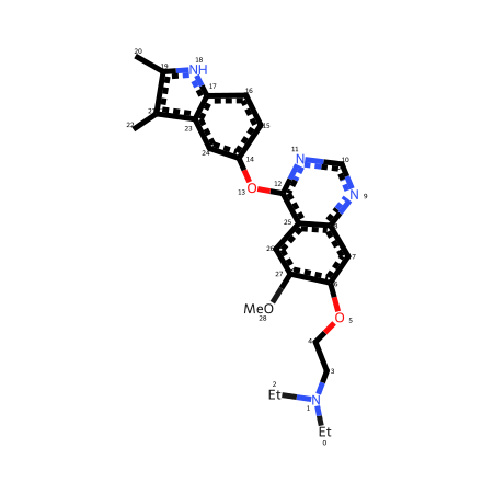 CCN(CC)CCOc1cc2ncnc(Oc3ccc4[nH]c(C)c(C)c4c3)c2cc1OC